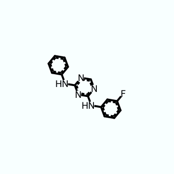 Fc1cccc(Nc2ncnc(Nc3ccccc3)n2)c1